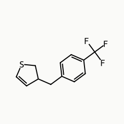 FC(F)(F)c1ccc(CC2C=CSC2)cc1